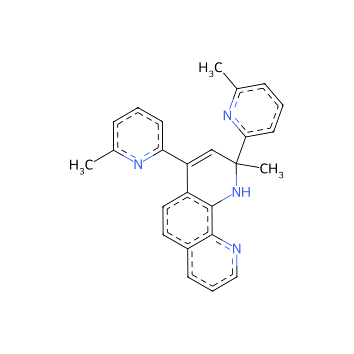 Cc1cccc(C2=CC(C)(c3cccc(C)n3)Nc3c2ccc2cccnc32)n1